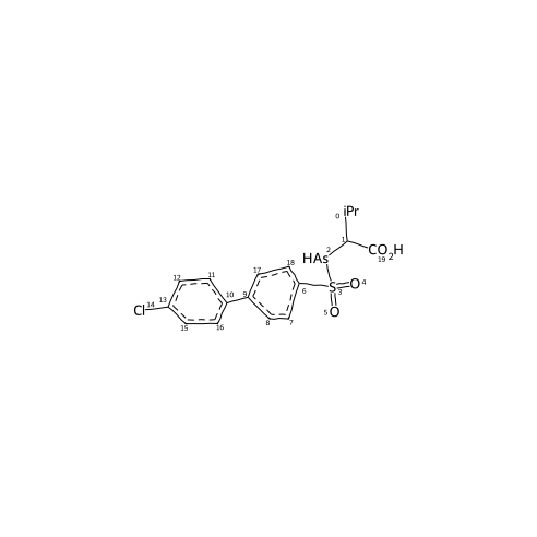 CC(C)C([AsH]S(=O)(=O)c1ccc(-c2ccc(Cl)cc2)cc1)C(=O)O